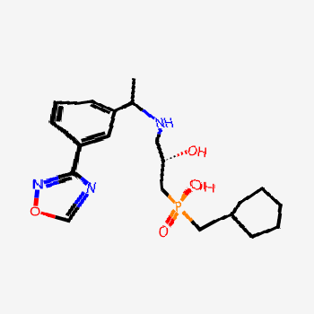 CC(NC[C@H](O)CP(=O)(O)CC1CCCCC1)c1cccc(-c2ncon2)c1